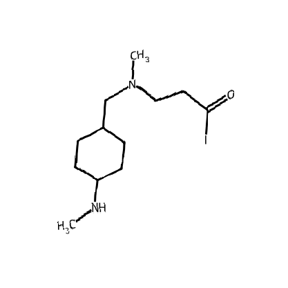 CNC1CCC(CN(C)CCC(=O)I)CC1